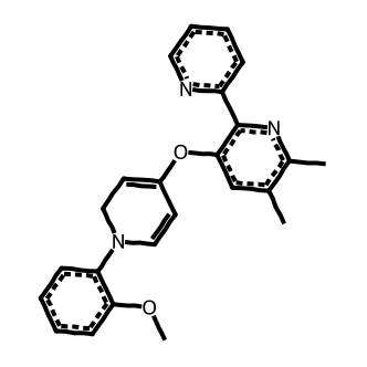 COc1ccccc1N1C=CC(Oc2cc(C)c(C)nc2-c2ccccn2)=CC1